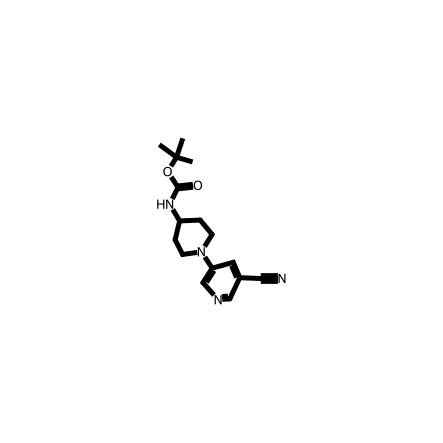 CC(C)(C)OC(=O)NC1CCN(c2cncc(C#N)c2)CC1